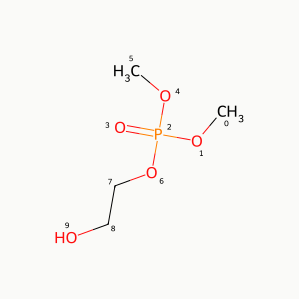 COP(=O)(OC)OCCO